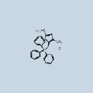 COc1cc(C)c(C[P+](c2ccccc2)(c2ccccc2)c2ccccc2)s1.[Cl-]